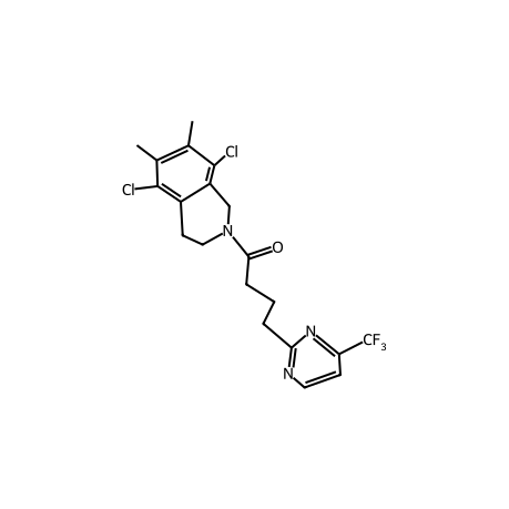 Cc1c(C)c(Cl)c2c(c1Cl)CCN(C(=O)CCCc1nccc(C(F)(F)F)n1)C2